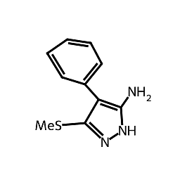 CSc1n[nH]c(N)c1-c1ccccc1